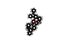 c1ccc(-n2c3ccccc3c3c(-c4ccc(N(c5ccccc5-c5ccc6c(c5)sc5ccccc56)c5cccc6oc7c8ccccc8ccc7c56)cc4)cccc32)cc1